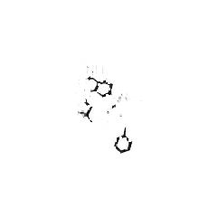 Cc1cc(Nc2cc(N(N)[C@@H](C=O)COCc3ccccc3)ccc2C(N)=O)sn1